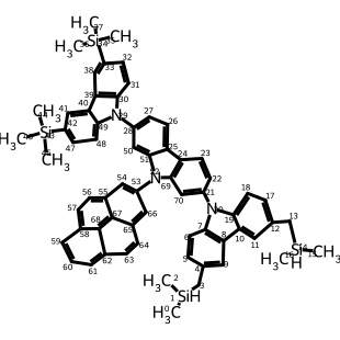 C[SiH](C)Cc1ccc2c(c1)c1cc(C[SiH](C)C)ccc1n2-c1ccc2c3ccc(-n4c5ccc([Si](C)(C)C)cc5c5cc([Si](C)(C)C)ccc54)cc3n(-c3cc4ccc5cccc6ccc(c3)c4c56)c2c1